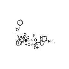 C[C@H](NP(=O)(OC[C@@]1(CF)O[C@@H](c2ccc3c(N)ncnn23)[C@H](O)[C@@H]1O)Oc1ccccc1)C(=O)OCC(C)(C)OCc1ccccc1